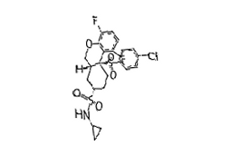 O=S(=O)(NC1CC1)[C@H]1CC[C@@]2(S(=O)(=O)c3ccc(Cl)cc3)c3c(F)ccc(F)c3OC[C@H]2C1